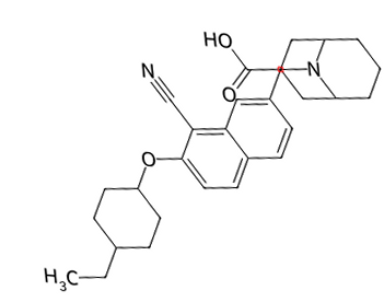 CCC1CCC(Oc2ccc3ccc(CN4C5CCCC4CC(C(=O)O)C5)cc3c2C#N)CC1